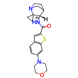 O=C(N[C@H]1C2CCN(CC2)C12CC2)c1cc2ccc(N3CCOCC3)cc2s1